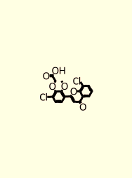 COc1c(-c2cc(=O)c3cccc(Cl)c3o2)ccc(Cl)c1OCC(=O)O